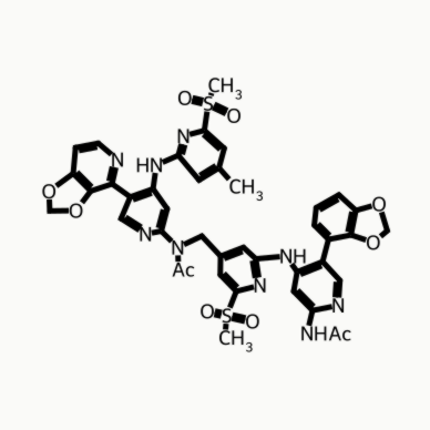 CC(=O)Nc1cc(Nc2cc(CN(C(C)=O)c3cc(Nc4cc(C)cc(S(C)(=O)=O)n4)c(-c4nccc5c4OCO5)cn3)cc(S(C)(=O)=O)n2)c(-c2cccc3c2OCO3)cn1